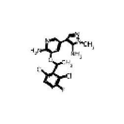 CC(Oc1cc(-c2cnn(C)c2N)cnc1N)c1c(Cl)ccc(F)c1Cl